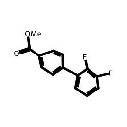 COC(=O)c1ccc(-c2cccc(F)c2F)cc1